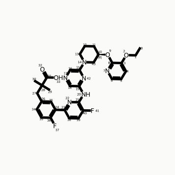 CCOc1cccnc1O[C@@H]1CCCN(c2cncc(Nc3nc(-c4cc(CC(C)(C)C(=O)O)ccc4F)ccc3F)n2)C1